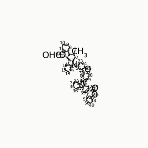 Cc1cc2c(cc1-c1ccccc1OC=O)c1ccccc1n2-c1ccc2oc3ccc(-n4c5ccccc5c5cc6c(cc54)c(=O)oc4ccccc46)cc3c2c1